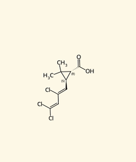 CC1(C)[C@H](C=C(Cl)C=C(Cl)Cl)[C@H]1C(=O)O